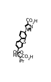 CC(C)[C@H](NS(=O)(=O)c1ccc2c(c1)sc1cc(-n3cc(C(=O)O)nn3)ccc12)C(=O)O